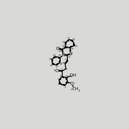 COc1cccc(C(=O)C/C=C/c2nc3ccccc3c(=O)n2-c2ccccc2)c1O